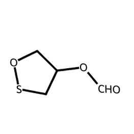 O=COC1COSC1